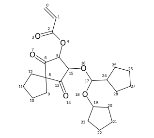 C=CC(=O)OC1C(=O)C2(CCCC2)C(=O)C1OC(OC1CCCC1)C1CCCC1